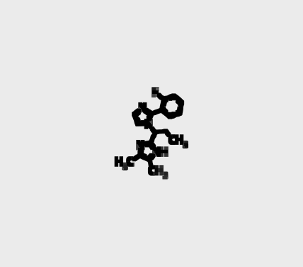 CCC(c1nc(C)c(C)[nH]1)n1ccnc1-c1ccccc1F